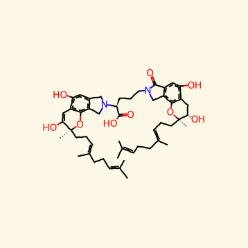 CC(C)=CCC/C(C)=C/CC[C@@]1(C)Oc2c(c(O)cc3c2CN(CCC[C@@H](C(=O)O)N2Cc4cc(O)c5c(c4C2)O[C@@](C)(CC/C=C(\C)CCC=C(C)C)C(O)=C5)C3=O)C[C@@H]1O